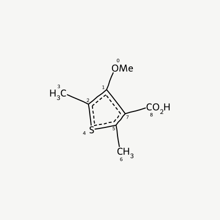 COc1c(C)sc(C)c1C(=O)O